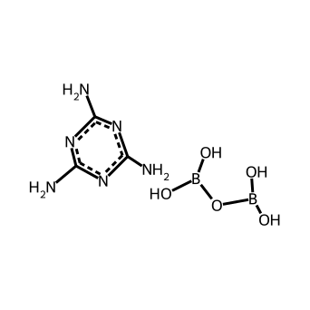 Nc1nc(N)nc(N)n1.OB(O)OB(O)O